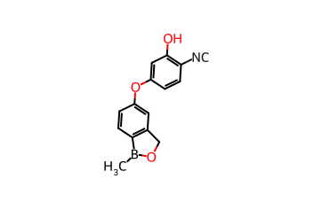 [C-]#[N+]c1ccc(Oc2ccc3c(c2)COB3C)cc1O